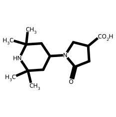 CC1(C)CC(N2CC(C(=O)O)CC2=O)CC(C)(C)N1